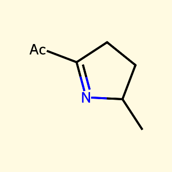 CC(=O)C1=NC(C)CC1